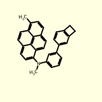 Cc1ccc2ccc3c(N(C)c4cccc(-c5ccc6c(c5)CC6)c4)ccc4ccc1c2c43